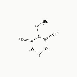 CC(C)(C)CC1C(=O)OCOC1=O